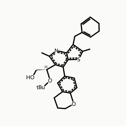 Cc1nc2c(CC3=CCCC=C3)c(C)sc2c(-c2ccc3c(c2)CCCO3)c1[C@@H](CO)OC(C)(C)C